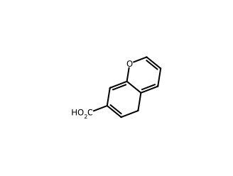 O=C(O)C1=CCC2=CC=COC2=C1